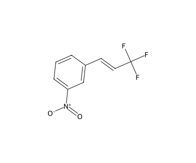 O=[N+]([O-])c1cccc(C=CC(F)(F)F)c1